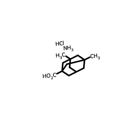 CC12CC3CC(C)(C1)CC(C(=O)O)(C3)C2.Cl.N